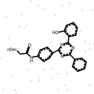 CCCCCCCCCCCC(=O)Nc1ccc(-c2nc(-c3ccccc3)nc(-c3ccccc3O)n2)cc1